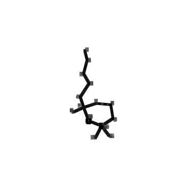 CCCCCC1(C)CCC[Si](C)(C)O1